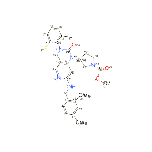 COc1ccc(CNc2cc3c(cn2)CN(c2c(C)cccc2F)C(=O)N3[C@@H]2CCN(C(=O)OC(C)(C)C)C2)c(OC)c1